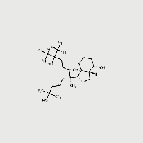 [2H]C([2H])([2H])C(O)(CCC[C@](C)(C/C=C/C(O)(C(F)(F)F)C(F)(F)F)[C@H]1CC[C@H]2[C@@H](O)CCC[C@]12C)C([2H])([2H])[2H]